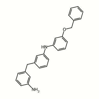 Nc1cccc(Cc2cccc(Nc3cccc(OCc4ccccc4)c3)c2)c1